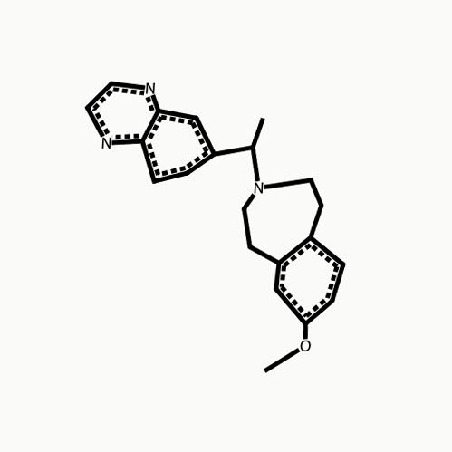 COc1ccc2c(c1)CCN(C(C)c1ccc3nccnc3c1)CC2